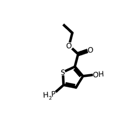 CCOC(=O)c1sc(P)cc1O